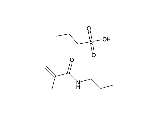 C=C(C)C(=O)NCCC.CCCS(=O)(=O)O